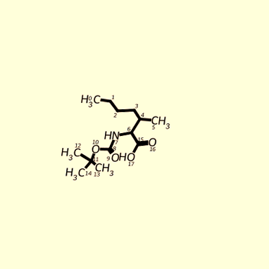 CCCCC(C)C(NC(=O)OC(C)(C)C)C(=O)O